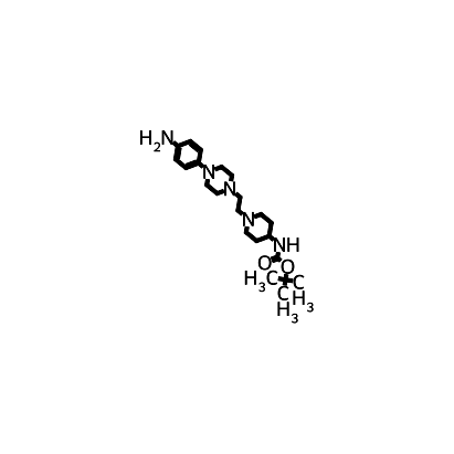 CC(C)(C)OC(=O)NC1CCN(CCN2CCN(c3ccc(N)cc3)CC2)CC1